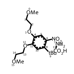 COCCOc1cc([N+](=O)[O-])c(C(C)(C)C)cc1OCCOC.NC(=O)O